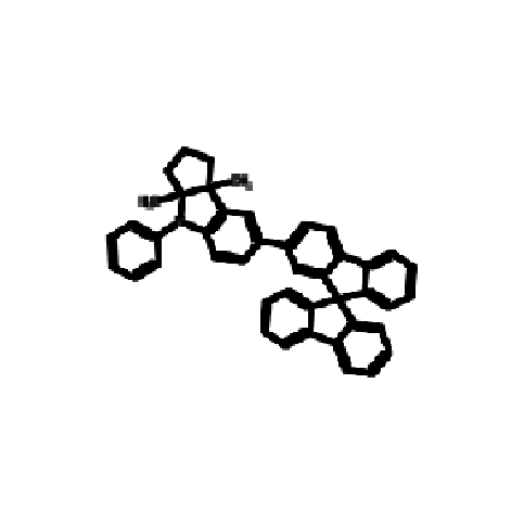 CC12CCCC1(C)N(c1ccccc1)c1ccc(-c3ccc4c(c3)C3(c5ccccc5-c5ccccc53)c3ccccc3-4)cc12